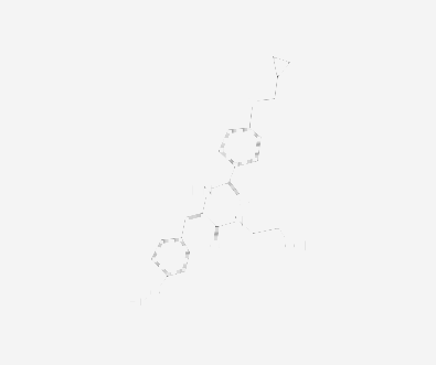 CCOc1ccc(/C=C(/NC(=O)c2ccc(OCC3CC3)cc2)C(=O)NCCO)cc1